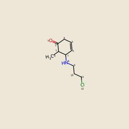 CC1C(=O)CC=CC1NCCCCl